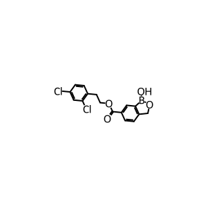 O=C(OCCc1ccc(Cl)cc1Cl)c1ccc2c(c1)B(O)OC2